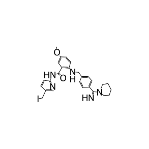 COc1ccc(NCc2ccc(C(=N)N3CCCCC3)cc2)c(C(=O)Nc2ccc(CI)cn2)c1